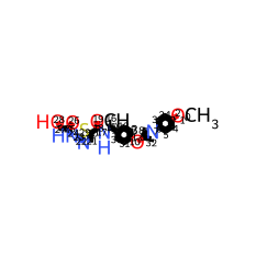 CCOc1ccc(N2CC(Oc3ccc([C@H](C)NC(=O)c4cnc(NC(=O)CO)s4)cc3)C2)cc1